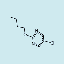 CCCCOc1ncc(Cl)cn1